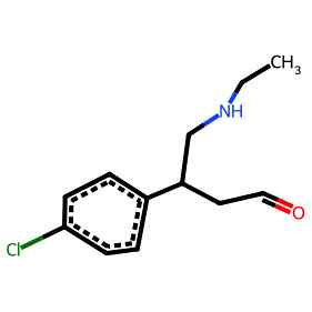 CCNCC(CC=O)c1ccc(Cl)cc1